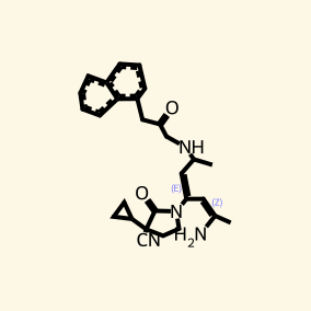 C/C(N)=C/C(=C\C(C)NCC(=O)Cc1cccc2ccccc12)N1CCC(C#N)(C2CC2)C1=O